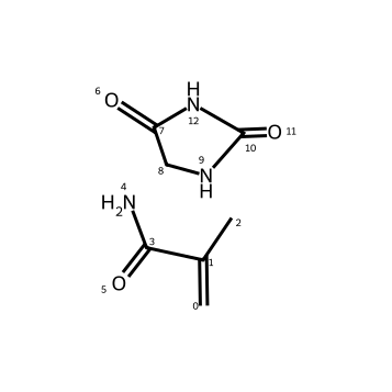 C=C(C)C(N)=O.O=C1CNC(=O)N1